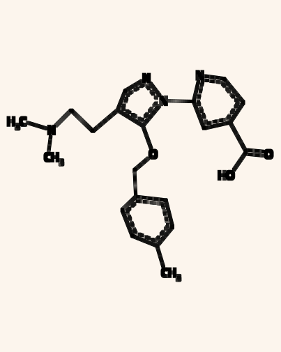 Cc1ccc(COc2c(CCN(C)C)cnn2-c2cc(C(=O)O)ccn2)cc1